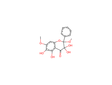 COc1cc2c(c(O)c1O)C(=O)C(O)(O)C(OC)(c1ccccc1)O2